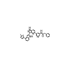 Cc1ccc(-c2cccc3[nH]c(-c4n[nH]c5ccc(-c6cncc(NC(=O)Cc7ccccc7)c6)nc45)cc23)s1